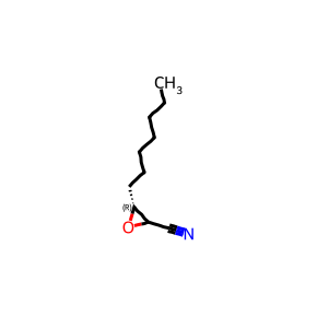 CCCCCCC[C@H]1OC1C#N